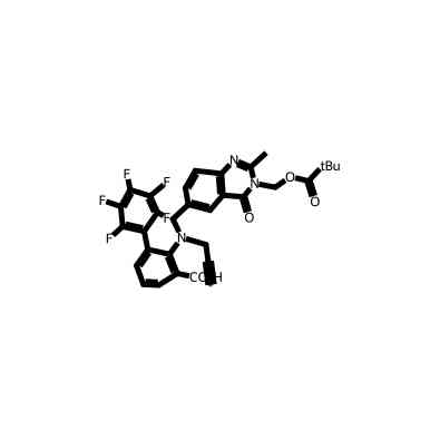 C#CCN(Cc1ccc2nc(C)n(COC(=O)C(C)(C)C)c(=O)c2c1)c1c(C(=O)O)cccc1-c1c(F)c(F)c(F)c(F)c1F